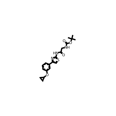 CC(C)(C)OC(=O)NCC(=O)Nc1nc(-c2cccc(OC3CC3)c2)cs1